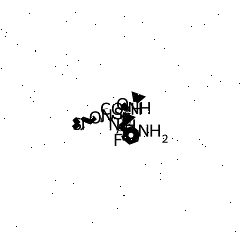 C[C@]1(c2cc(N)ccc2F)N=C(N(COCC[Si](C)(C)C)C(=O)O)S[C@@]2(C(=O)NC3CC3)C[C@H]21